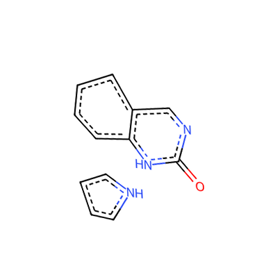 O=c1ncc2ccccc2[nH]1.c1cc[nH]c1